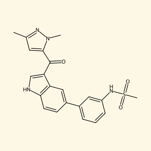 Cc1cc(C(=O)c2c[nH]c3ccc(-c4cccc(NS(C)(=O)=O)c4)cc23)n(C)n1